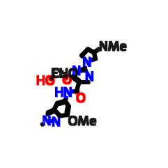 CCOc1nc(N2CCC(NC)C2)ncc1C(=O)Nc1cc(OC)c2nn(C)cc2c1.O=CO